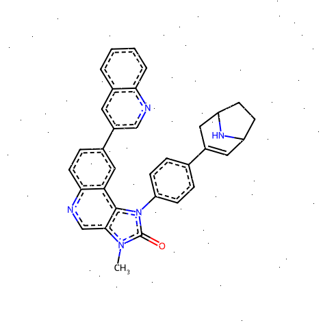 Cn1c(=O)n(-c2ccc(C3=CC4CCC(C3)N4)cc2)c2c3cc(-c4cnc5ccccc5c4)ccc3ncc21